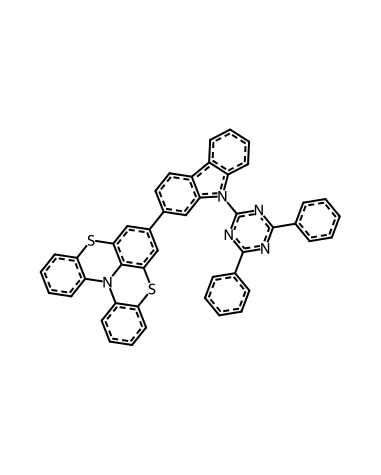 c1ccc(-c2nc(-c3ccccc3)nc(-n3c4ccccc4c4ccc(-c5cc6c7c(c5)Sc5ccccc5N7c5ccccc5S6)cc43)n2)cc1